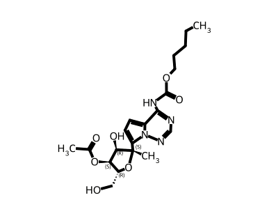 CCCCCOC(=O)Nc1ncnn2c([C@]3(C)O[C@H](CO)[C@@H](OC(C)=O)[C@H]3O)ccc12